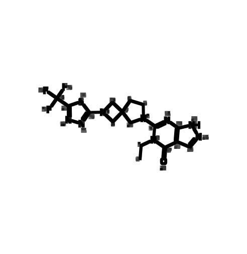 CCn1c(N2CCC3(CN(c4nnc(C(F)(F)F)s4)C3)C2)nc2[nH]ncc2c1=O